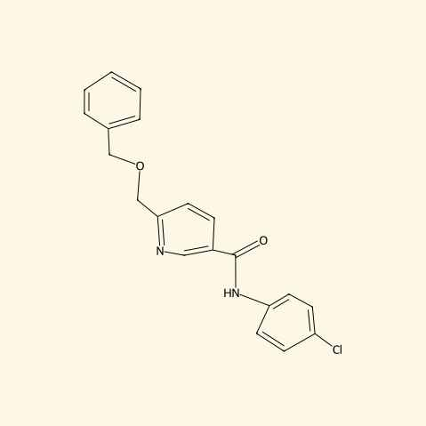 O=C(Nc1ccc(Cl)cc1)c1ccc(COCc2ccccc2)nc1